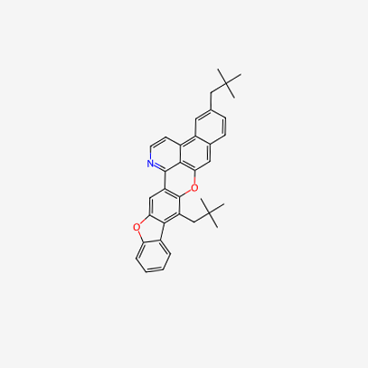 CC(C)(C)Cc1ccc2cc3c4c(nccc4c2c1)-c1cc2oc4ccccc4c2c(CC(C)(C)C)c1O3